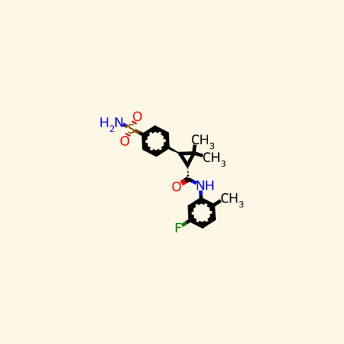 Cc1ccc(F)cc1NC(=O)[C@@H]1[C@@H](c2ccc(S(N)(=O)=O)cc2)C1(C)C